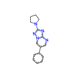 c1ccc(-c2cnc3nc(N4CCCC4)nn3c2)cc1